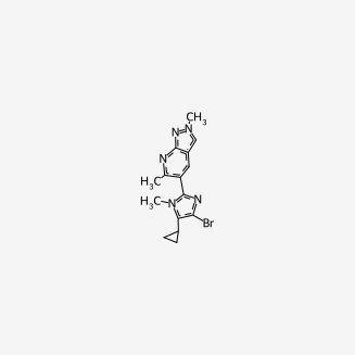 Cc1nc2nn(C)cc2cc1-c1nc(Br)c(C2CC2)n1C